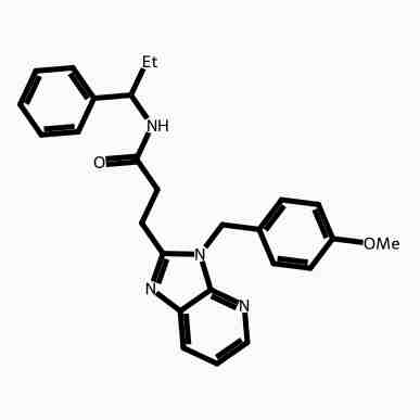 CCC(NC(=O)CCc1nc2cccnc2n1Cc1ccc(OC)cc1)c1ccccc1